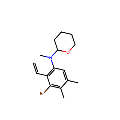 C=Cc1c(N(C)C2CCCCO2)cc(C)c(C)c1Br